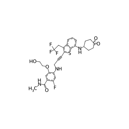 CNC(=O)c1cc(OCCO)c(NCC#Cc2sc3c(NC4CCS(=O)(=O)CC4)cccc3c2CC(F)(F)F)cc1F